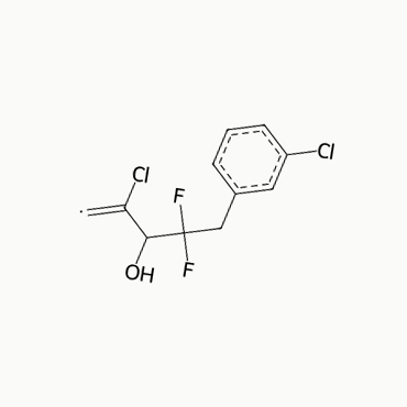 [CH]=C(Cl)C(O)C(F)(F)Cc1cccc(Cl)c1